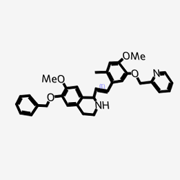 COc1cc2c(cc1OCc1ccccc1)CCNC2/C=C/c1cc(OCc2ccccn2)c(OC)cc1C